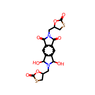 O=C1OC(CN2C(=O)c3cc4c(cc3C2=O)C(O)N(CC2CSC(=O)O2)C4O)CS1